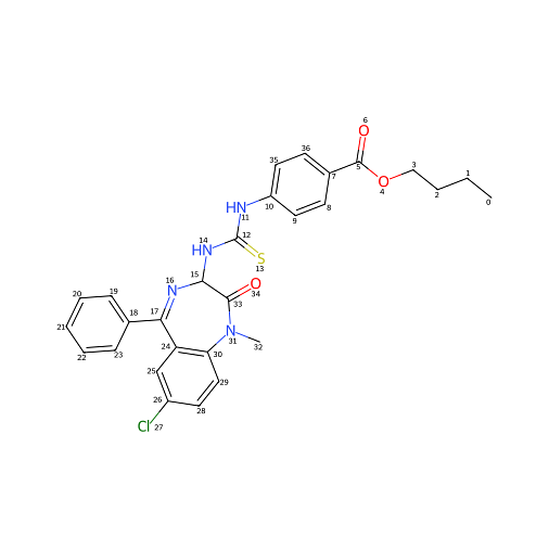 CCCCOC(=O)c1ccc(NC(=S)NC2N=C(c3ccccc3)c3cc(Cl)ccc3N(C)C2=O)cc1